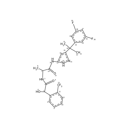 CC(NC(=O)C(O)c1ccccc1C(F)(F)F)C(=O)Nc1cc(C(C)(C)c2cc(F)cc(F)c2)n[nH]1